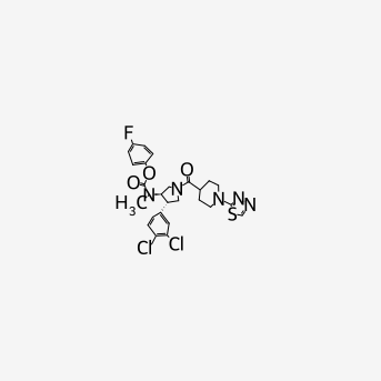 CN(C(=O)Oc1ccc(F)cc1)[C@H]1CN(C(=O)C2CCN(c3nncs3)CC2)C[C@@H]1c1ccc(Cl)c(Cl)c1